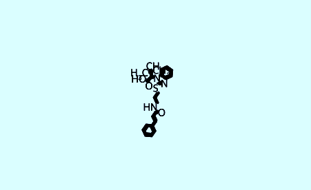 CC(C)(C)C(C(=O)O)n1c(SCCCNC(=O)/C=C/c2ccccc2)nc2ccccc21